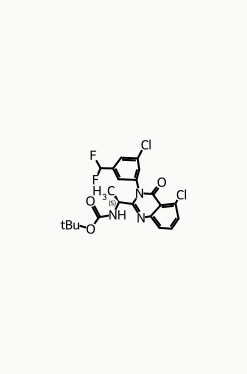 C[C@H](NC(=O)OC(C)(C)C)c1nc2cccc(Cl)c2c(=O)n1-c1cc(Cl)cc(C(F)F)c1